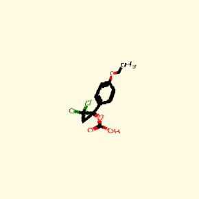 CCOc1ccc(C2(OC(=O)O)CC2(Cl)Cl)cc1